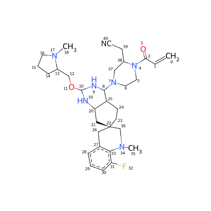 C=CC(=O)N1CCN(C2NC(OCC3CCCN3C)NC3C[C@]4(CCC32)Cc2cccc(F)c2N(C)C4)CC1CC#N